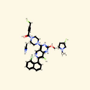 CN1C[C@H](F)C[C@H]1COc1nc(N2CCN(C(=O)C#CCF)[C@@H](CC#N)C2)c2cnc(-c3cccc4cccc(Cl)c34)c(F)c2n1